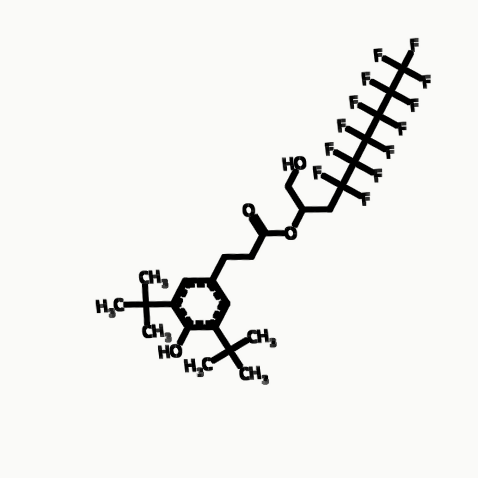 CC(C)(C)c1cc(CCC(=O)OC(CO)CC(F)(F)C(F)(F)C(F)(F)C(F)(F)C(F)(F)C(F)(F)F)cc(C(C)(C)C)c1O